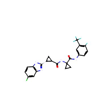 O=C(NC1(C(=O)Nc2ccc(F)c(C(F)(F)F)c2)CC1)C1C[C@@H]1c1nc2cc(Cl)ccc2[nH]1